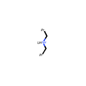 CC(C)CNCC(C)C.[LiH]